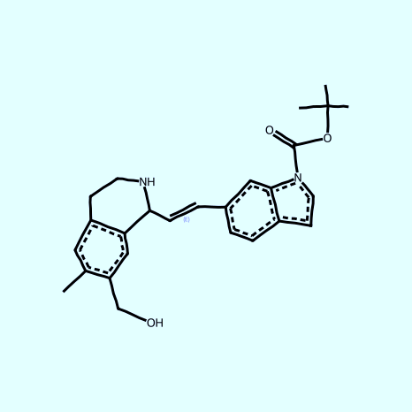 Cc1cc2c(cc1CO)C(/C=C/c1ccc3ccn(C(=O)OC(C)(C)C)c3c1)NCC2